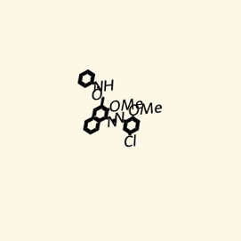 COc1ccc(Cl)cc1N=Nc1c(OC)c(CONc2ccccc2)cc2ccccc12